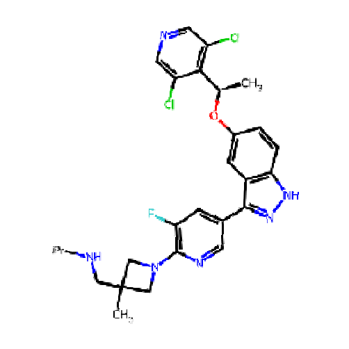 CC(C)NCC1(C)CN(c2ncc(-c3n[nH]c4ccc(O[C@H](C)c5c(Cl)cncc5Cl)cc34)cc2F)C1